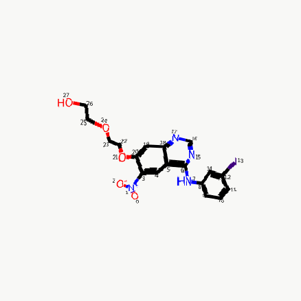 O=[N+]([O-])c1cc2c(Nc3cccc(I)c3)ncnc2cc1OCCOCCO